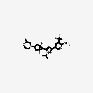 CC1CN(C2C[C@@H]3C(c4cc(-c5cnc(N)c(C(F)(F)F)c5)nn4C(C)C)[C@@H]3C2)CCO1